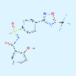 COc1ccccc1C(=O)N=S(C)(=O)c1ccc(-c2noc(C(F)(F)F)n2)cc1